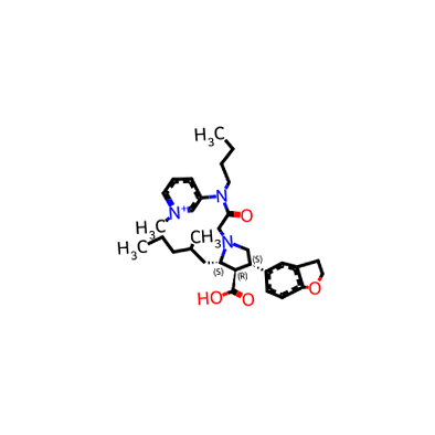 CCCCN(C(=O)CN1C[C@H](c2ccc3c(c2)CCO3)[C@@H](C(=O)O)[C@@H]1CC(C)CCC)c1ccc[n+](C)c1